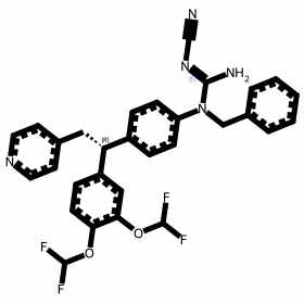 N#C/N=C(\N)N(Cc1ccccc1)c1ccc([C@@H](Cc2ccncc2)c2ccc(OC(F)F)c(OC(F)F)c2)cc1